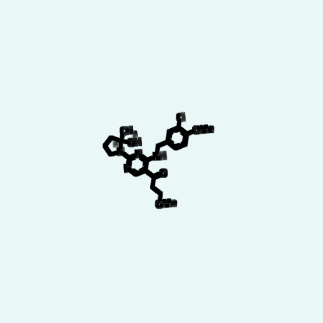 COCCC(=O)c1cnc(N2CCC[C@]2(C)O)nc1NCc1ccc(OC)c(Cl)c1